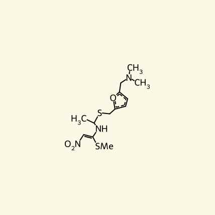 CSC(=C[N+](=O)[O-])NC(C)SCc1ccc(CN(C)C)o1